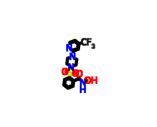 O=C(NO)c1ccccc1S(=O)(=O)N1CCN(c2cc(C(F)(F)F)ccn2)CC1